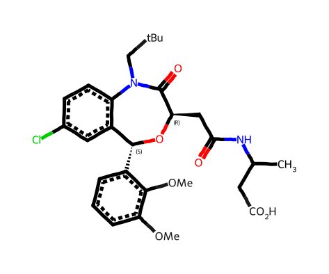 COc1cccc([C@H]2O[C@H](CC(=O)NC(C)CC(=O)O)C(=O)N(CC(C)(C)C)c3ccc(Cl)cc32)c1OC